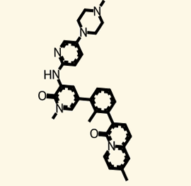 Cc1ccn2c(=O)c(-c3cccc(-c4cc(Nc5ccc(N6CCN(C)CC6)cn5)c(=O)n(C)c4)c3C)ccc2c1